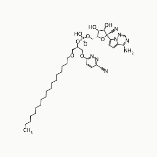 CCCCCCCCCCCCCCCCCCOC[C@H](COc1ccc(C#N)nn1)OP(=O)(O)OC[C@H]1O[C@@](C#N)(c2ccc3c(N)ncnn23)[C@H](O)[C@@H]1O